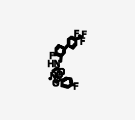 CN(CC(=O)NCc1cc(-c2ccc(C(F)(F)F)cc2)ccc1F)S(=O)(=O)c1ccc(F)cc1